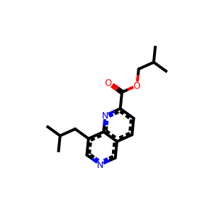 CC(C)COC(=O)c1ccc2cncc(CC(C)C)c2n1